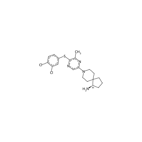 Cc1nc(N2CCC3(CCC[C@H]3N)CC2)cnc1Sc1ccc(Cl)c(Cl)c1